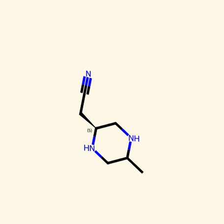 CC1CN[C@@H](CC#N)CN1